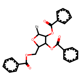 CCC1OC(COC(=O)c2ccccc2)C(OC(=O)c2ccccc2)C1OC(=O)c1ccccc1